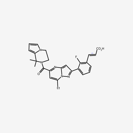 CCc1cc(C(=O)N2CCn3cccc3C2(C)C)nc2cc(-c3cccc(/C=C/C(=O)O)c3F)nn12